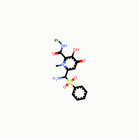 CC(C)NC(=O)c1c(O)c(=O)cc(C(N)S(=O)(=O)c2ccccc2)n1C